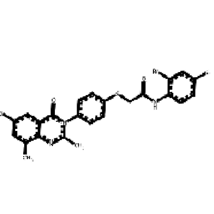 Cc1cc(Cl)cc2c(=O)n(-c3ccc(SCC(=O)Nc4ccc(Cl)cc4Br)cc3)c(C)nc12